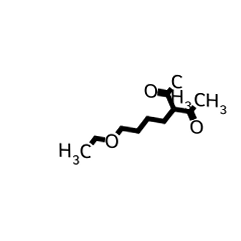 CCOCCCCC(C(C)=O)C(C)=O